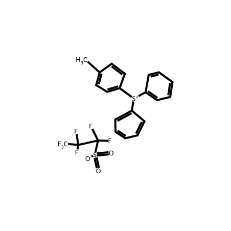 Cc1ccc([S+](c2ccccc2)c2ccccc2)cc1.O=S(=O)([O-])C(F)(F)C(F)(F)C(F)(F)F